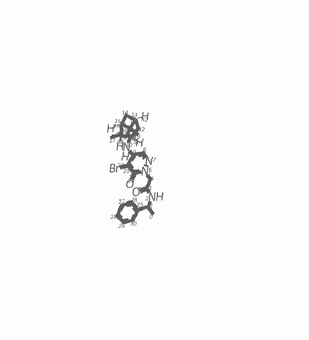 CC(NC(=O)Cn1ncc(N[C@@H]2C[C@@H]3C[C@H]([C@H]2C)C3(C)C)c(Br)c1=O)c1ccccc1